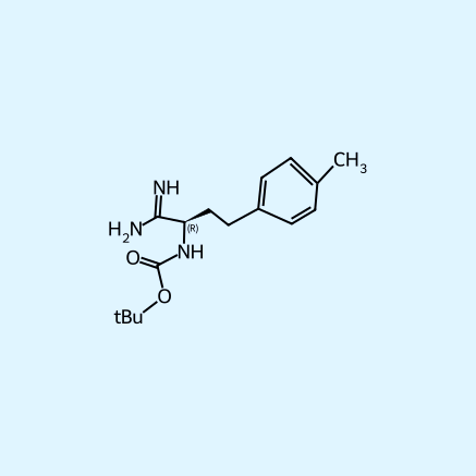 Cc1ccc(CC[C@@H](NC(=O)OC(C)(C)C)C(=N)N)cc1